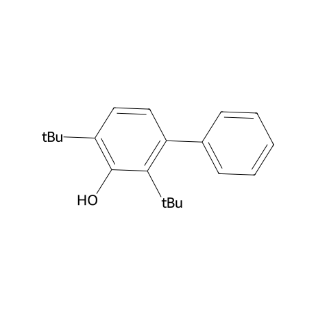 CC(C)(C)c1ccc(-c2ccccc2)c(C(C)(C)C)c1O